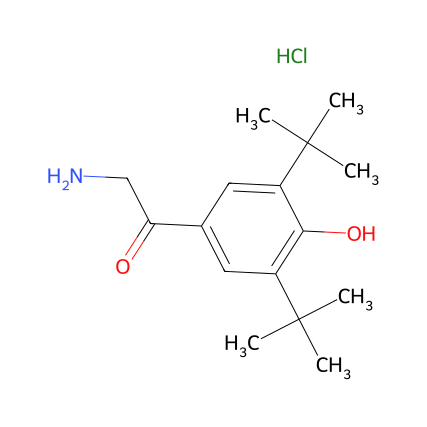 CC(C)(C)c1cc(C(=O)CN)cc(C(C)(C)C)c1O.Cl